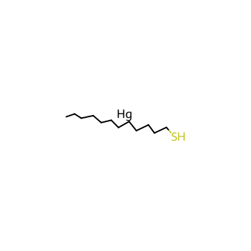 CCCCCCCCCCCCS.[Hg]